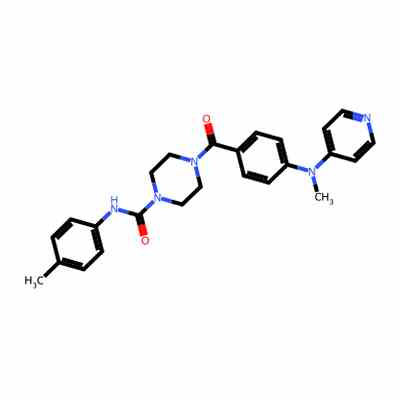 Cc1ccc(NC(=O)N2CCN(C(=O)c3ccc(N(C)c4ccncc4)cc3)CC2)cc1